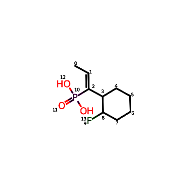 C/C=C(/C1CCCCC1F)P(=O)(O)O